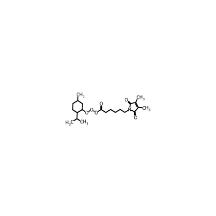 CC1=C(C)C(=O)N(CCCCCC(=O)OOOC2CC(C)CCC2C(C)C)C1=O